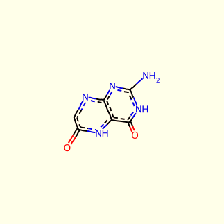 Nc1nc2ncc(=O)[nH]c2c(=O)[nH]1